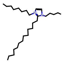 CCCCCCCCCCCCCc1n(CCCCC)cc[n+]1CCCCCCCC